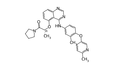 Cc1ccc(Oc2ccc(Nc3ncnc4cccc(O[C@H](C)C(=O)N5CCCC5)c34)cc2C)cn1